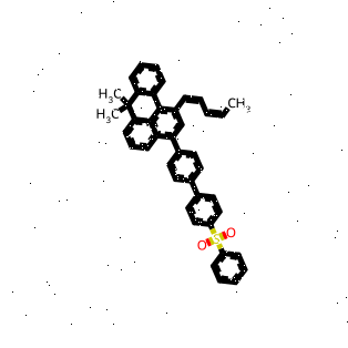 C/C=C\C=C/c1cc(-c2ccc(-c3ccc(S(=O)(=O)c4ccccc4)cc3)cc2)c2cccc3c2c1-c1ccccc1C3(C)C